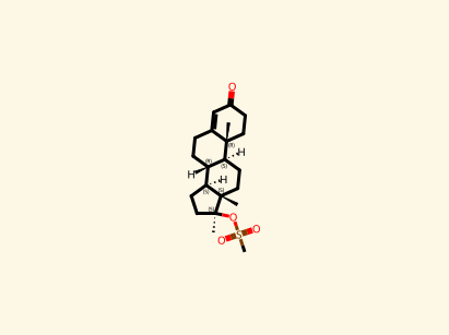 C[C@]12CCC(=O)C=C1CC[C@@H]1[C@@H]2CC[C@@]2(C)[C@H]1CC[C@]2(C)OS(C)(=O)=O